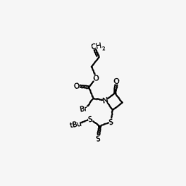 C=CCOC(=O)C(Br)N1C(=O)CC1SC(=S)SC(C)(C)C